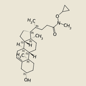 C[C@H](CCC(=O)N(C)OC1CC1)[C@H]1CC[C@H]2[C@@H]3CC=C4C[C@@H](O)CC[C@]4(C)[C@H]3CC[C@]12C